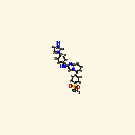 CS(=O)(=O)c1ccc(-c2cccc3nc(Nc4ccc(N5CCNC5)cc4)cn23)cc1